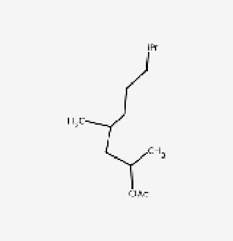 CC(=O)OC(C)CC(C)CCCC(C)C